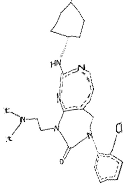 CCN(CC)CCN1C(=O)N(c2ccccc2Cl)Cc2cnc(N[C@H]3CC[C@H](O)CC3)nc21